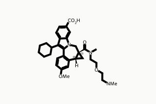 CNCCOCCN(C)C(=O)[C@@]12C[C@@H]1c1cc(OC)ccc1-c1c(C3CCCCC3)c3ccc(C(=O)O)cc3n1C2